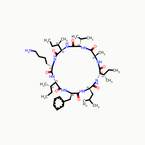 CC[C@@H](C)[C@H]1NC(=O)[C@H](C(C)C)NC(=O)[C@@H](C)NC(=O)[C@H]([C@@H](C)CC)NC(=O)[C@@H](CC(C)C)NC(=O)[C@@H](Cc2ccccc2)NC(=O)[C@H]([C@@H](C)CC)NC(=O)[C@H](CCCCN)NC1=O